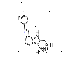 Cc1ccc(/C=C/c2cccc3c4c([nH]c23)C[C@H]2CC[C@@H]4N2C)cn1